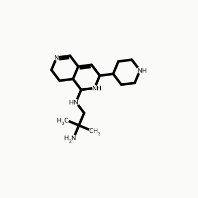 CC(C)(N)CNC1NC(C2CCNCC2)C=C2C=NCCC21